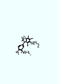 Cc1c(C)c2c(c(C)c1N)C(c1ccc(N(C)C)c(N)c1)C(C)(C)O2